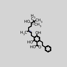 C/C(=C\Cc1c(O)cc(CCc2ccccc2)c(C(=O)O)c1O)CC[C@H](O)C(C)(C)C